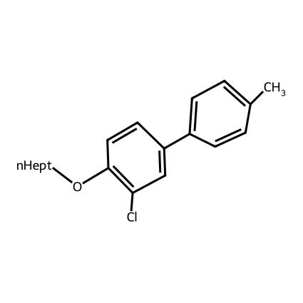 CCCCCCCOc1ccc(-c2ccc(C)cc2)cc1Cl